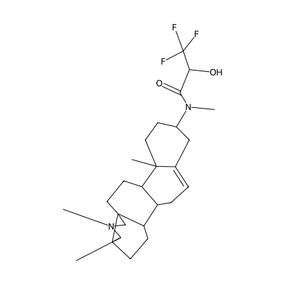 CC1C2CCC3C4CC=C5CC(N(C)C(=O)C(O)C(F)(F)F)CCC5(C)C4CCC32CN1C